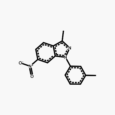 Cc1cccc(-n2nc(C)c3ccc([N+](=O)[O-])cc32)c1